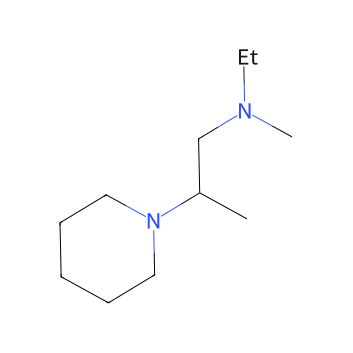 CCN(C)CC(C)N1CCCCC1